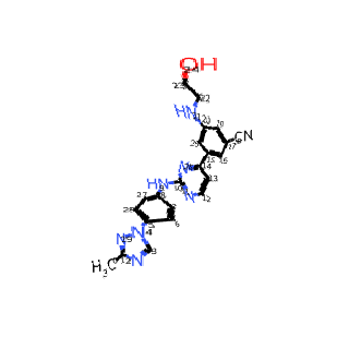 Cc1ncn(-c2ccc(Nc3nccc(-c4cc(C#N)cc(NCCO)c4)n3)cc2)n1